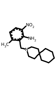 Cc1ccc([N+](=O)[O-])c(N)c1CN1CCC2(CCCCC2)CC1